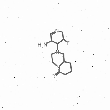 NC1C=NCC(F)C1N1CCN2C(=O)CCCC2C1